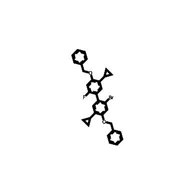 Fc1cc(OCc2ccccc2)c(C2CC2)cc1-c1cc(C2CC2)c(OCc2ccccc2)cc1Br